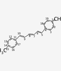 Cc1ccc(C=CC=CC=Cc2ccc(C)cc2)cc1